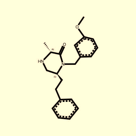 COc1cccc(CN2C(=O)[C@@H](C)NC[C@@H]2CCc2ccccc2)c1